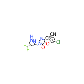 N#Cc1cc(Cl)cc(Oc2c(C(F)(F)F)ncn(CC3=NNCC(C(F)F)=C3)c2=O)c1